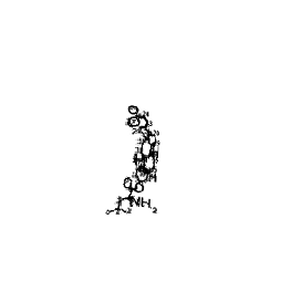 CC(C)CC(N)C(=O)O[C@H]1CC[C@@]2(C)[C@H](CC[C@H]3C4=CC[C@H](c5ccc(=O)oc5)[C@@]4(C)CC[C@@H]32)C1